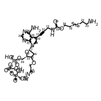 [N-]=[N+]=NCOC1C[C@H](n2cc(C#CCNC(=O)OCCSSCCN)c3c(N)ncnc32)O[C@@H]1COP(=O)(O)OP(=O)(O)OP(=O)(O)O